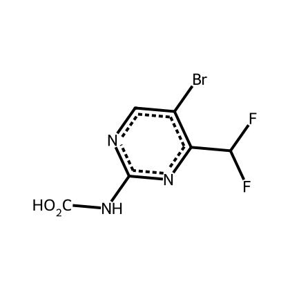 O=C(O)Nc1ncc(Br)c(C(F)F)n1